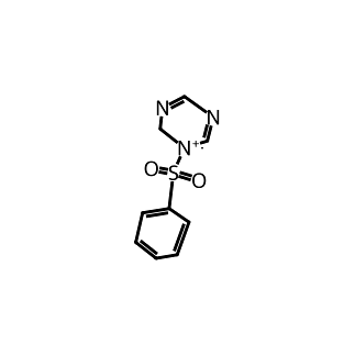 O=S(=O)(c1ccccc1)[N+]1C=NC=NC1